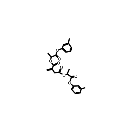 C=C(CC(=O)OC(C)C(=O)Oc1cccc(C)c1)C(=O)OC(C)C(=O)Oc1cccc(C)c1